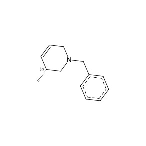 C[C@@H]1C=CCN(Cc2ccccc2)C1